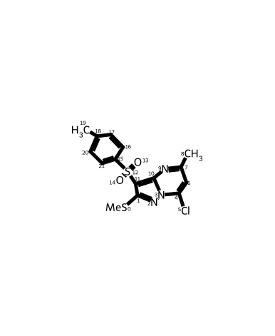 CSc1nn2c(Cl)cc(C)nc2c1S(=O)(=O)c1ccc(C)cc1